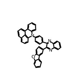 c1ccc2c(c1)-c1cccc3cccc(c13)N2c1ccc(-c2nc3ccccc3nc2-c2ccc3oc4ccccc4c3c2)cc1